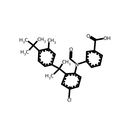 Cc1cc(C(C)(C)c2cc(Cl)ccc2N(C=O)c2cccc(C(=O)O)c2)ccc1C(C)(C)C